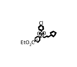 CCOC(=O)N1CCC(N(C/C=C/c2ccccc2)S(=O)(=O)c2ccc(Cl)cc2)CC1